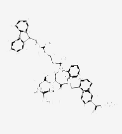 COC(=O)c1ccc2c(CN3C(=O)[C@@H](NC(=O)[C@H](C)N(C)C(=O)OC(C)(C)C)CN(C(=O)CCNC(=O)OCC4c5ccccc5-c5ccccc54)c4ccccc43)c(OC)ccc2c1